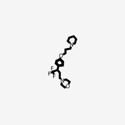 FC(F)(F)C(CCN1CCOCC1)c1ccc(OCCCN2CCCCC2)cc1